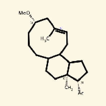 CO[C@H]1CCCC2CC[C@@]3(C)C(CC[C@@H]3C(C)=O)C2C/C=C(\C)C1